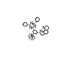 CC1(C)OB(c2cc(-c3ccc4ccc5cccnc5c4n3)cc(-c3nc(-c4ccccc4)nc(-c4ccccc4)n3)c2)OC1(C)C